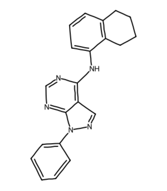 c1ccc(-n2ncc3c(Nc4cccc5c4CCCC5)ncnc32)cc1